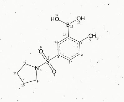 Cc1ccc(S(=O)(=O)N2CCCC2)cc1B(O)O